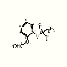 O=[C]Oc1ccccc1OC(F)(F)C(F)(F)F